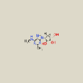 CNc1nc(C)nc2c1ncn2[C@H]1C(O)[C@@H](O)[C@]2(CO)C[C@H]12